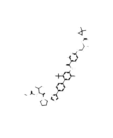 COC(=O)N[C@H](C(=O)N1C[C@@H](C)C[C@H]1c1nc(-c2ccc(-c3cc(F)c(NC(=O)c4ccc(NC[C@H](C)NC(=O)[C@H]5CC5(C)C)nc4)cc3C(F)(F)F)cc2)c[nH]1)C(C)C